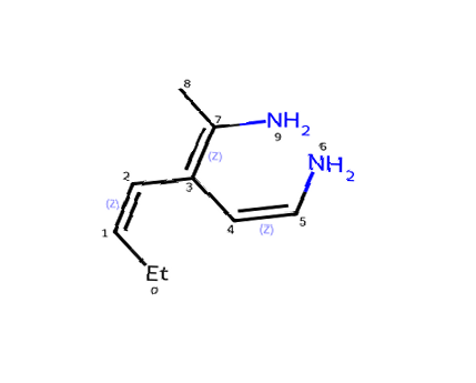 CC\C=C/C(/C=C\N)=C(\C)N